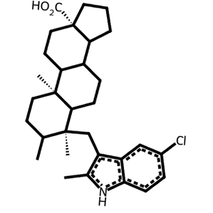 Cc1[nH]c2ccc(Cl)cc2c1C[C@@]1(C)C(C)CC[C@@]2(C)C3CC[C@@]4(C(=O)O)CCCC4C3CCC12